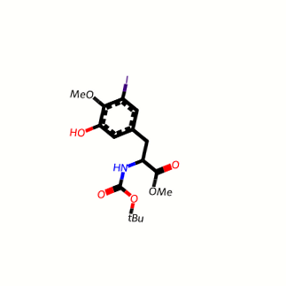 COC(=O)C(Cc1cc(O)c(OC)c(I)c1)NC(=O)OC(C)(C)C